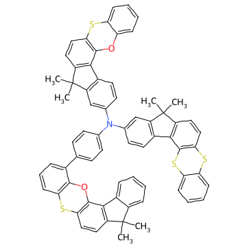 CC1(C)c2cc(N(c3ccc(-c4cccc5c4Oc4c(ccc6c4-c4ccccc4C6(C)C)S5)cc3)c3ccc4c(c3)C(C)(C)c3ccc5c(c3-4)Sc3ccccc3S5)ccc2-c2c1ccc1c2Oc2ccccc2S1